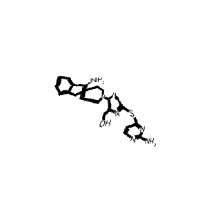 Nc1nccc(Sc2cnc(N3CCC4(CC3)Cc3ccccc3[C@H]4N)c(CO)n2)n1